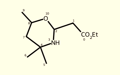 CCOC(=O)CC1NC(C)(C)CC(C)O1